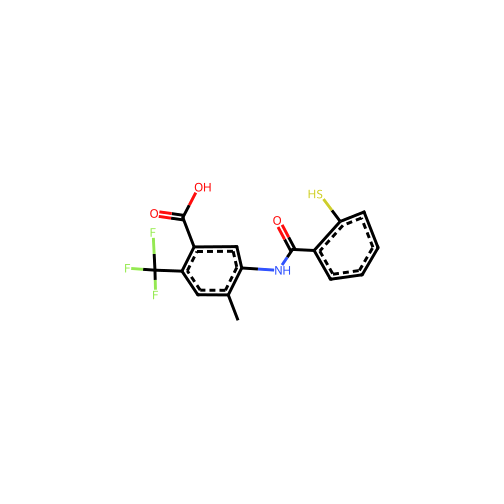 Cc1cc(C(F)(F)F)c(C(=O)O)cc1NC(=O)c1ccccc1S